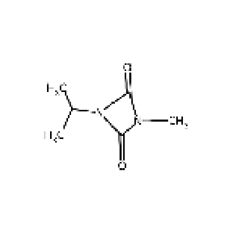 CC(C)N1C(=O)N(C)C1=O